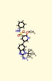 COc1ncc(-c2ccc3nc(N)n(C(C)(C)C)c3c2)cc1S(=O)(=O)Nc1ccccc1